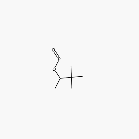 CC(OP=O)C(C)(C)C